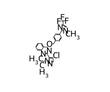 CC(C)n1ncc(Cl)c1-c1nc(OCc2ccc(-c3nc(C(F)(F)F)cn3C)cc2)c2ccccc2n1